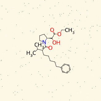 CCOC(=O)C(O)[C@@H]1CCCN1C(=O)C(CCCCCc1ccccc1)C(C)C